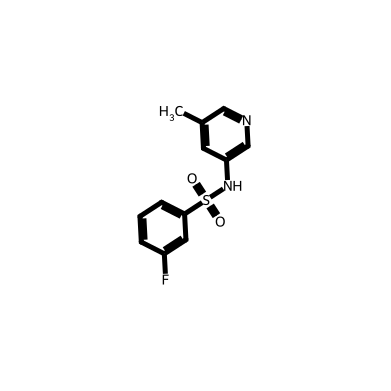 Cc1cncc(NS(=O)(=O)c2cccc(F)c2)c1